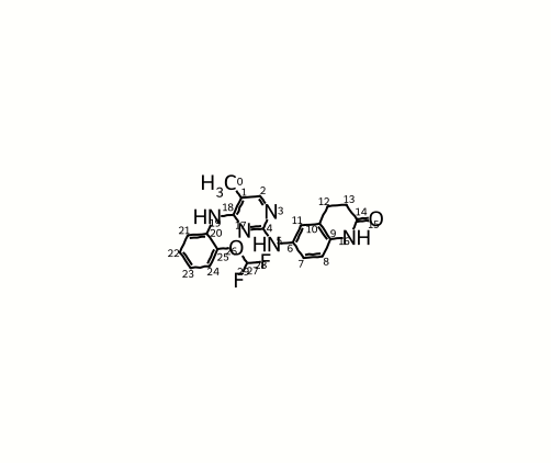 Cc1cnc(Nc2ccc3c(c2)CCC(=O)N3)nc1Nc1ccccc1OC(F)F